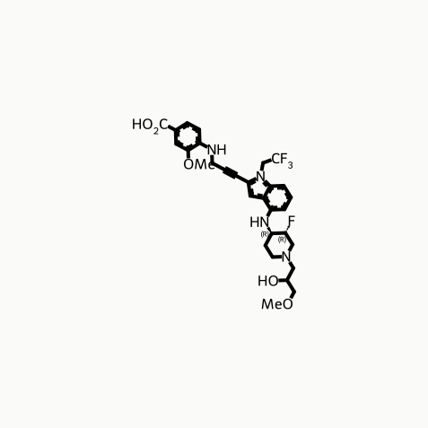 COCC(O)CN1CC[C@@H](Nc2cccc3c2cc(C#CCNc2ccc(C(=O)O)cc2OC)n3CC(F)(F)F)[C@H](F)C1